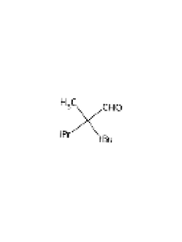 CC(C)C(C)(C=O)C(C)(C)C